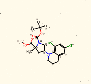 COC(=O)[C@@]1(C)C[C@H](N2CCCc3cc(Cl)cc(Br)c32)CN1C(=O)OC(C)(C)C